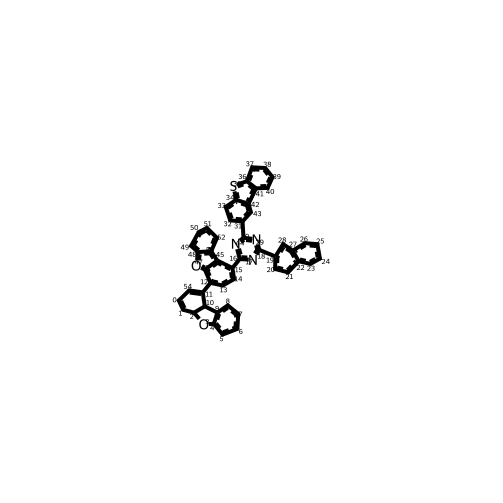 C1=CC2Oc3ccccc3C2C(c2ccc(-c3nc(-c4ccc5ccccc5c4)nc(-c4ccc5sc6ccccc6c5c4)n3)c3c2oc2ccccc23)=C1